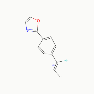 [CH2]/C=C(\F)c1ccc(-c2ncco2)cc1